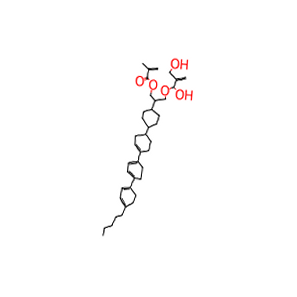 C=C(C)C(=O)OCC(COC(O)C(=C)CO)C1CCC(C2CC=C(C3=CC=C(C4=CC=C(CCCCC)CC4)CC3)CC2)CC1